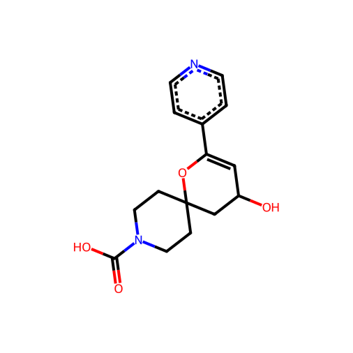 O=C(O)N1CCC2(CC1)CC(O)C=C(c1ccncc1)O2